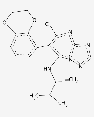 CC(C)[C@@H](C)Nc1c(-c2cccc3c2OCCO3)c(Cl)nc2ncnn12